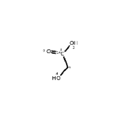 O=[14C](O)CO